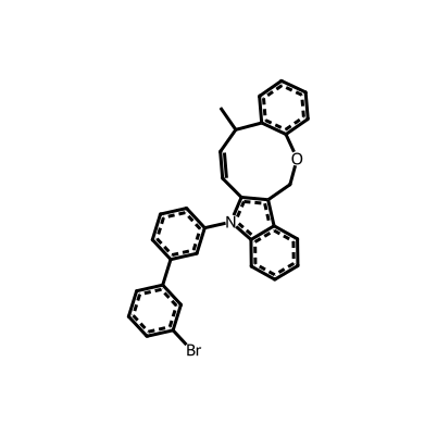 CC1/C=C\c2c(c3ccccc3n2-c2cccc(-c3cccc(Br)c3)c2)COc2ccccc21